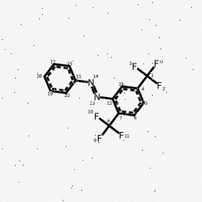 FC(F)(F)c1ccc(C(F)(F)F)c(N=Nc2ccccc2)c1